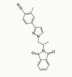 Cc1cc(-c2ccn(CC(C)N3C(=O)c4ccccc4C3=O)n2)ccc1C#N